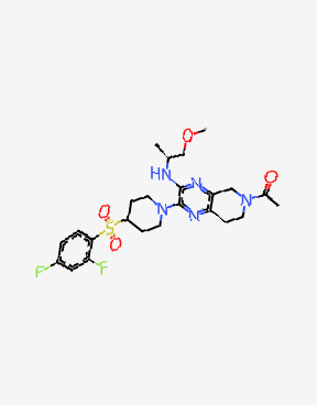 COC[C@H](C)Nc1nc2c(nc1N1CCC(S(=O)(=O)c3ccc(F)cc3F)CC1)CCN(C(C)=O)C2